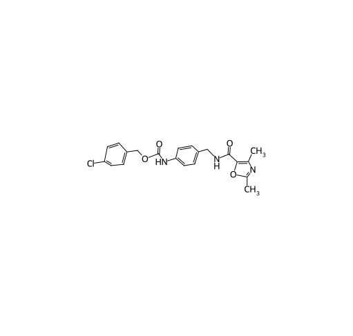 Cc1nc(C)c(C(=O)NCc2ccc(NC(=O)OCc3ccc(Cl)cc3)cc2)o1